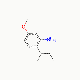 CCC(C)c1ccc(OC)cc1N